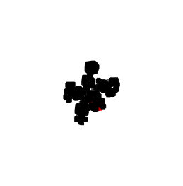 Cc1cc2c(cc1N1C3=CC(c4ccccc4)CC=C3B3c4cc5c(cc4N(c4ccc(C(C)(C)C)cc4-c4ccccc4)c4cc(C(C)(C)C)cc1c43)C(C)(C)CC5(C)C)C(C)(C)CCC2(C)C